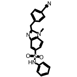 Cn1c(Cc2ccc(C#N)cc2)nc2cc(S(=O)(=O)Nc3ccccc3)ccc21